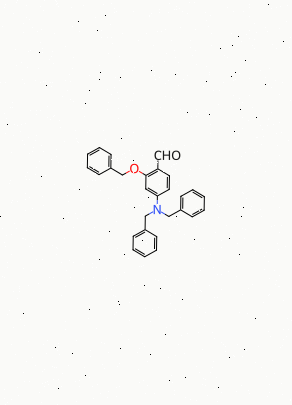 O=Cc1ccc(N(Cc2ccccc2)Cc2ccccc2)cc1OCc1ccccc1